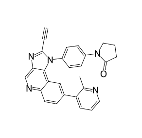 C#Cc1nc2cnc3ccc(-c4cccnc4C)cc3c2n1-c1ccc(N2CCCC2=O)cc1